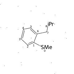 CSc1ccccc1C[C](C)C